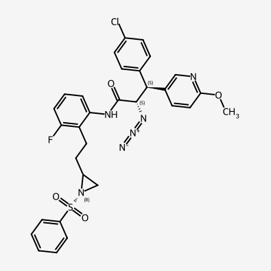 COc1ccc([C@H](c2ccc(Cl)cc2)[C@H](N=[N+]=[N-])C(=O)Nc2cccc(F)c2CCC2C[N@]2S(=O)(=O)c2ccccc2)cn1